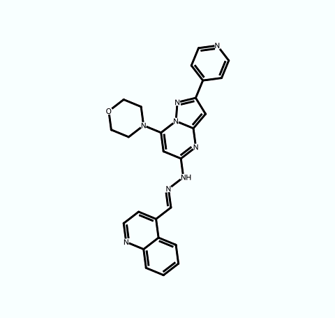 C(=NNc1cc(N2CCOCC2)n2nc(-c3ccncc3)cc2n1)c1ccnc2ccccc12